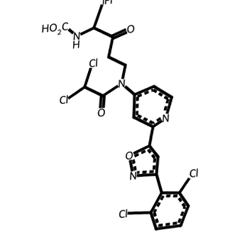 CC(C)C(NC(=O)O)C(=O)CCN(C(=O)C(Cl)Cl)c1ccnc(-c2cc(-c3c(Cl)cccc3Cl)no2)c1